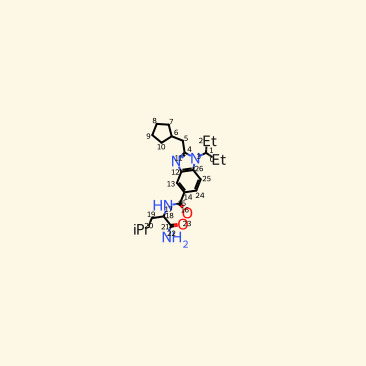 CCC(CC)n1c(CC2CCCC2)nc2cc(C(=O)NC(CC(C)C)C(N)=O)ccc21